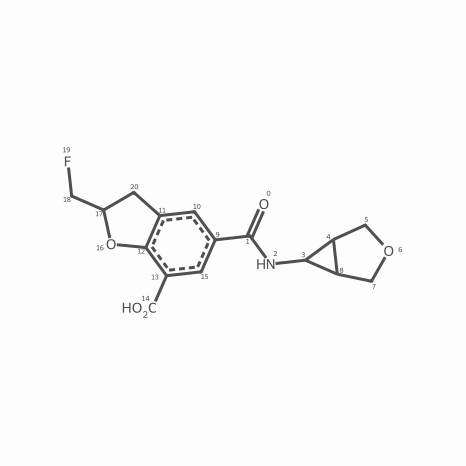 O=C(NC1C2COCC21)c1cc2c(c(C(=O)O)c1)OC(CF)C2